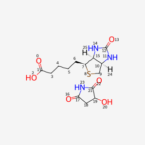 O=C(O)CCCC[C@@H]1SC[C@@H]2NC(=O)N[C@@H]21.O=C1CC(O)C(=O)N1